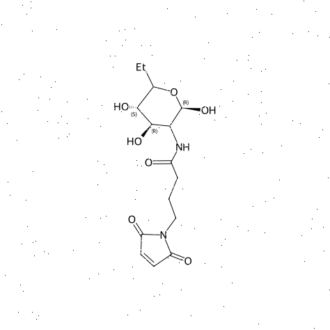 CCC1O[C@@H](O)C(NC(=O)CCCN2C(=O)C=CC2=O)[C@@H](O)[C@@H]1O